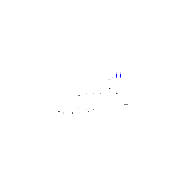 CC(=O)Oc1ccc(-c2cnoc2C)cc1